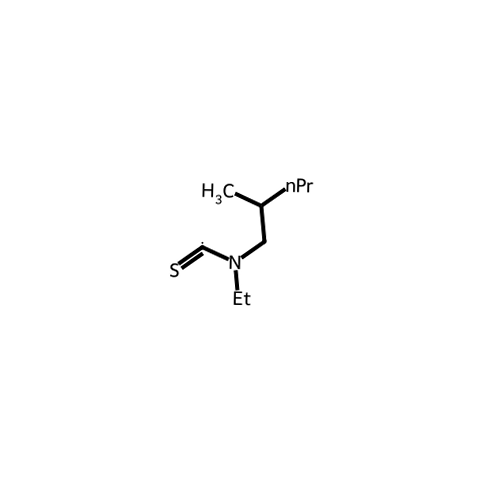 CCCC(C)CN([C]=S)CC